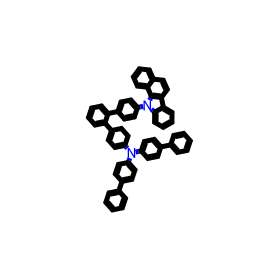 C1=C(c2ccccc2-c2ccc(-n3c4ccccc4c4ccc5ccccc5c43)cc2)CCC(N(c2ccc(-c3ccccc3)cc2)c2ccc(-c3ccccc3)cc2)=C1